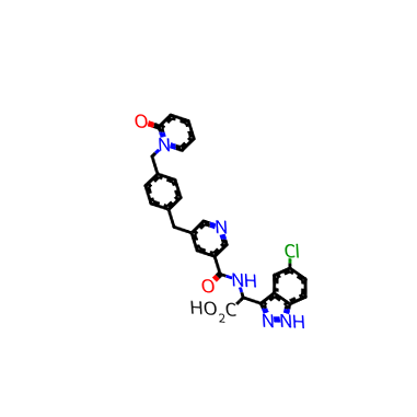 O=C(NC(C(=O)O)c1n[nH]c2ccc(Cl)cc12)c1cncc(Cc2ccc(Cn3ccccc3=O)cc2)c1